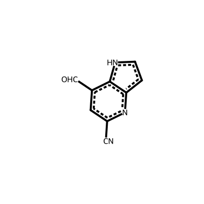 N#Cc1cc(C=O)c2[nH]ccc2n1